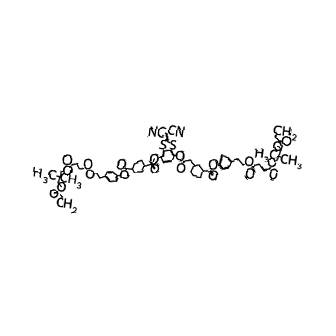 C=CC(=O)OCC(C)(C)COC(=O)CCC(=O)OCCc1ccc(OC(=O)C2CCC(C(=O)Oc3ccc(OC(=O)CC4CCCC(C(=O)Oc5ccc(CCOC(=O)CCC(=O)OCC(C)(C)COC(=O)C=C)cc5)C4)c4c3SC(=C(C#N)C#N)S4)CC2)cc1